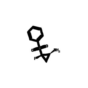 N[C@@H]1C[C@]1(F)S(=O)(=O)c1ccccc1